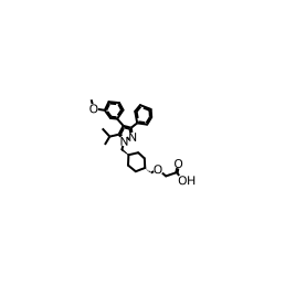 COc1cccc(-c2c(-c3ccccc3)nn(C[C@H]3CC[C@H](COCC(=O)O)CC3)c2C(C)C)c1